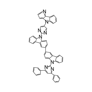 c1ccc(-c2cc(-c3ccccc3)nc(-n3c4ccccc4c4cc(-c5ccc6c(c5)c5ccccc5n6-c5ncc(-n6c7ccccc7c7ncccc76)cn5)ccc43)n2)cc1